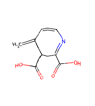 C=C1C=CN=C(C(=O)O)C1C(=O)O